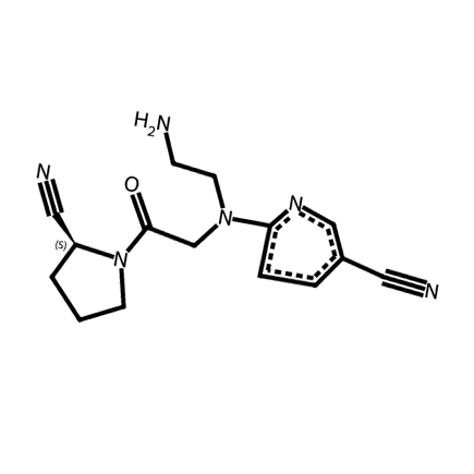 N#Cc1ccc(N(CCN)CC(=O)N2CCC[C@H]2C#N)nc1